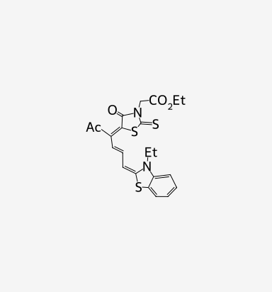 CCOC(=O)CN1C(=O)C(=C(C=CC=C2Sc3ccccc3N2CC)C(C)=O)SC1=S